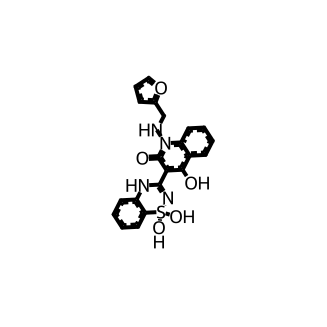 O=c1c(C2=NS(O)(O)c3ccccc3N2)c(O)c2ccccc2n1NCc1ccco1